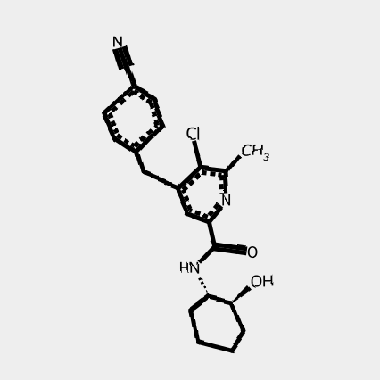 Cc1nc(C(=O)N[C@H]2CCCC[C@@H]2O)cc(Cc2ccc(C#N)cc2)c1Cl